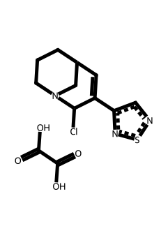 ClC1C(c2cnsn2)=CC2CCCN1C2.O=C(O)C(=O)O